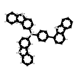 c1ccc2c(c1)oc1c(-c3ccc(N(c4ccc5sc6ccccc6c5c4)c4ccc5sc6ccccc6c5c4)cc3)cccc12